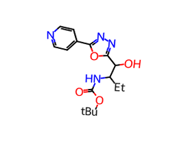 CCC(NC(=O)OC(C)(C)C)C(O)c1nnc(-c2ccncc2)o1